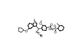 COc1cc(C(=O)NS(=O)(=O)c2ccccc2C)ccc1C(N=C=O)c1cn(C)c2ccc(OC3CCCC3)cc12